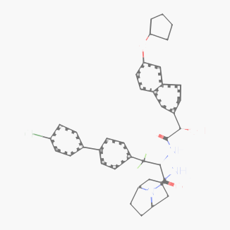 NC1CC2CCC(C1)N2C(=O)[C@H](NC(=O)[C@H](O)c1ccc2cc(OC3CCCC3)ccc2c1)C(F)(F)c1ccc(-c2ccc(Cl)cc2)cc1